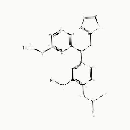 CCOc1cc(N(Cc2cncs2)c2cccc(CC(=O)O)c2)ccc1OC(F)F